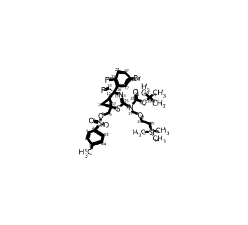 Cc1ccc(S(=O)(=O)OCC23CC2[C@@](CF)(c2cc(Br)ccc2F)N=C(N(COCC[Si](C)(C)C)C(=O)OC(C)(C)C)S3)cc1